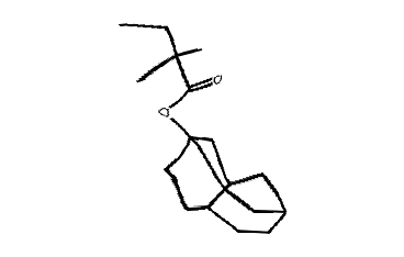 CCC(C)(C)C(=O)OC12CCC3CCC(CC3C1)C2